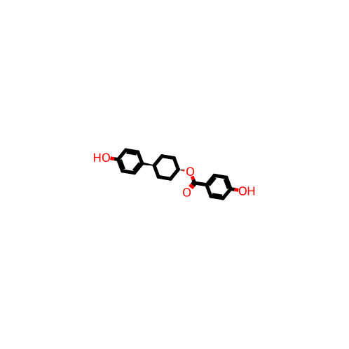 O=C(O[C@H]1CC[C@H](c2ccc(O)cc2)CC1)c1ccc(O)cc1